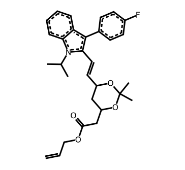 C=CCOC(=O)CC1CC(C=Cc2c(-c3ccc(F)cc3)c3ccccc3n2C(C)C)OC(C)(C)O1